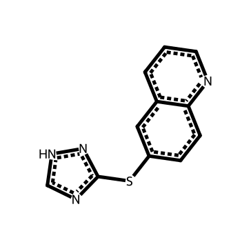 c1cnc2ccc(Sc3nc[nH]n3)cc2c1